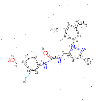 Cc1cc(C)cc(-n2nc(C(F)(F)F)cc2CNC(=O)Nc2ccc(CO)c(F)c2)c1